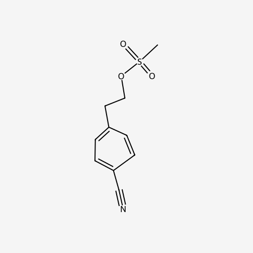 CS(=O)(=O)OCCc1ccc(C#N)cc1